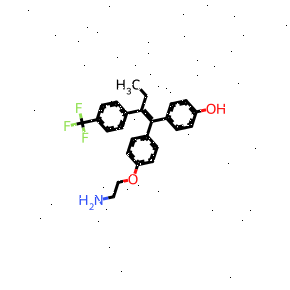 CC/C(=C(\c1ccc(O)cc1)c1ccc(OCCN)cc1)c1ccc(C(F)(F)F)cc1